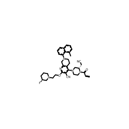 C=CC(=O)N1CCN(c2c(C#N)c(OCCN3CCC[C@H](F)C3)nc3c2CCN(c2cccc4cccc(C)c24)C3)C[C@@H]1CC#N